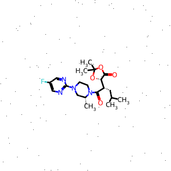 CC(C)C[C@H](C(=O)N1CCN(c2ncc(F)cn2)C[C@H]1C)[C@@H]1OC(C)(C)OC1=O